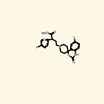 COC(=O)C(CCN1CCC2(CC1)OC(=O)Nc1ccc(F)cc12)c1ccc(F)cc1